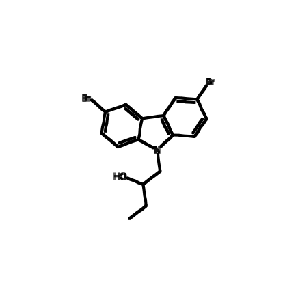 CCC(O)Cn1c2ccc(Br)cc2c2cc(Br)ccc21